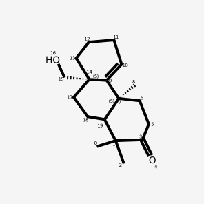 CC1(C)C(=O)CC[C@]2(C)C3=CCCC[C@]3(CO)CCC12